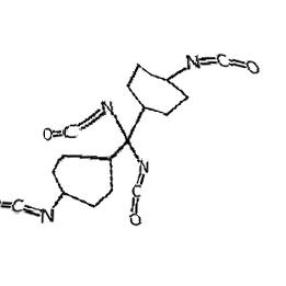 O=C=NC1CCC(C(N=C=O)(N=C=O)C2CCC(N=C=O)CC2)CC1